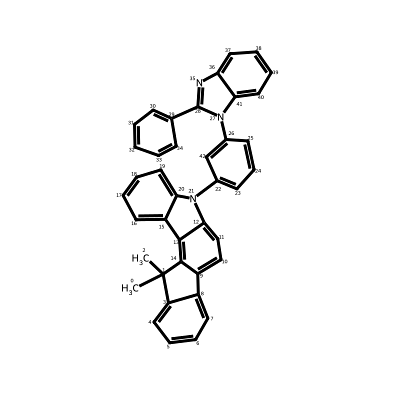 CC1(C)c2ccccc2-c2ccc3c(c21)c1ccccc1n3-c1cccc(-n2c(-c3ccccc3)nc3ccccc32)c1